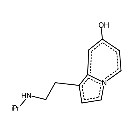 CC(C)NCCc1ccn2ccc(O)cc12